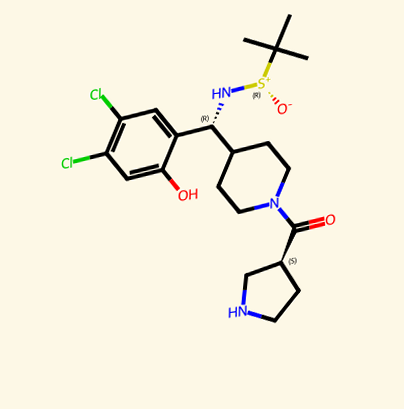 CC(C)(C)[S@+]([O-])N[C@@H](c1cc(Cl)c(Cl)cc1O)C1CCN(C(=O)[C@H]2CCNC2)CC1